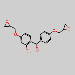 O=C(c1ccc(OCC2CO2)cc1)c1ccc(OCC2CO2)cc1O